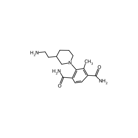 Cc1c(C(N)=O)ccc(C(N)=O)c1N1CCCC(CCN)C1